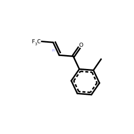 Cc1ccccc1C(=O)/C=C/C(F)(F)F